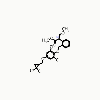 CO/C=C(/C(=O)OC)c1ccccc1COc1c(Cl)cc(OCC2CC2(Cl)Cl)cc1Cl